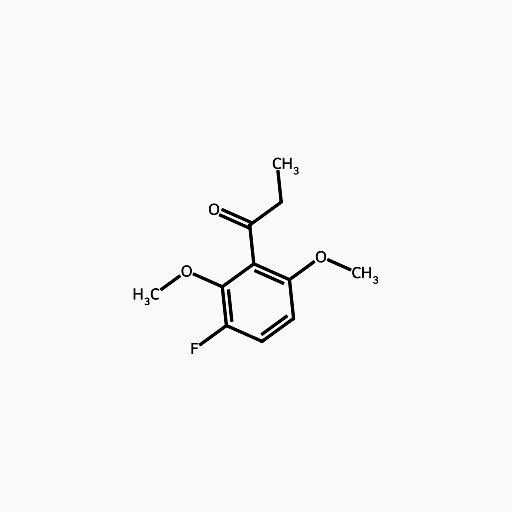 CCC(=O)c1c(OC)ccc(F)c1OC